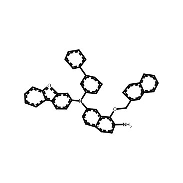 Nc1ccc2ccc(N(c3cccc(-c4ccccc4)c3)c3ccc4c(c3)oc3ccccc34)cc2c1OCc1ccc2ccccc2c1